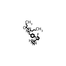 CCCCc1nc(C(=O)CCC)nn1Cc1ccc(-n2c(F)ccc2-c2nnn[nH]2)cc1